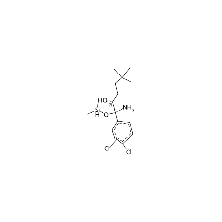 C[SiH](C)OC(N)(c1ccc(Cl)c(Cl)c1)[C@H](O)CCC(C)(C)C